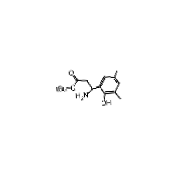 Cc1cc(C)c(O)c(C(N)CC(=O)OC(C)(C)C)c1